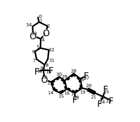 CC1COC(C2CCC(C(F)(F)Oc3ccc4c(F)c(C#CC(F)(F)F)c(F)cc4c3)CC2)OC1